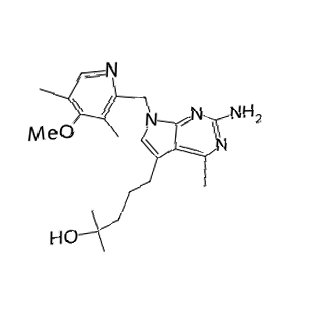 COc1c(C)cnc(Cn2cc(CCCC(C)(C)O)c3c(C)nc(N)nc32)c1C